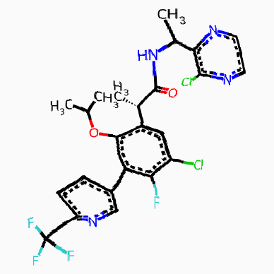 CC(C)Oc1c([C@H](C)C(=O)NC(C)c2nccnc2Cl)cc(Cl)c(F)c1-c1ccc(C(F)(F)F)nc1